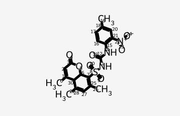 CC1=CC(=O)OC2C(S(=O)(=O)NC(=O)Nc3ccc(C)cc3[N+](=O)[O-])=C(C)C=C(C)C12